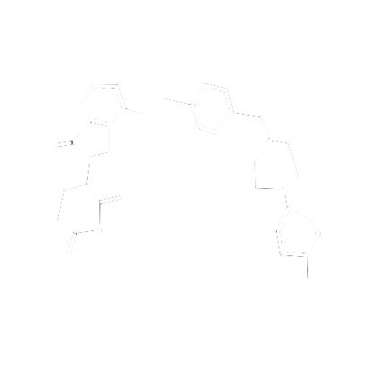 C=C1CCC(N2Cc3c(OCc4ccc(CN5CCN(c6ccc(F)cc6)CC5)cc4)cccc3C2=O)C(=O)N1